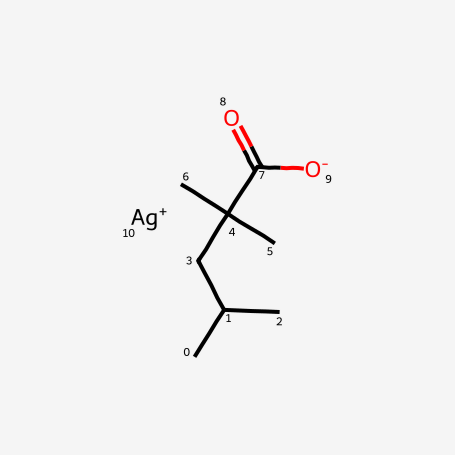 CC(C)CC(C)(C)C(=O)[O-].[Ag+]